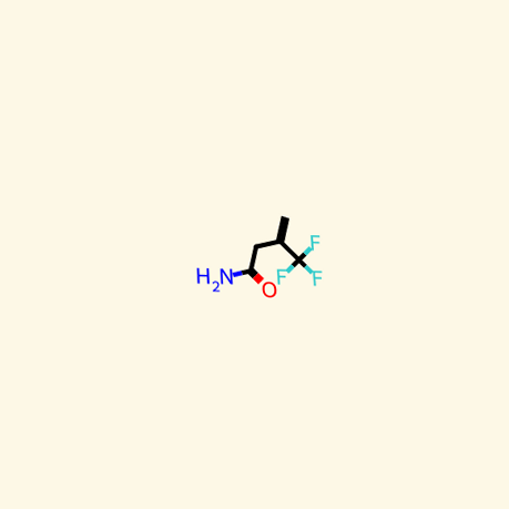 C=C(CC(N)=O)C(F)(F)F